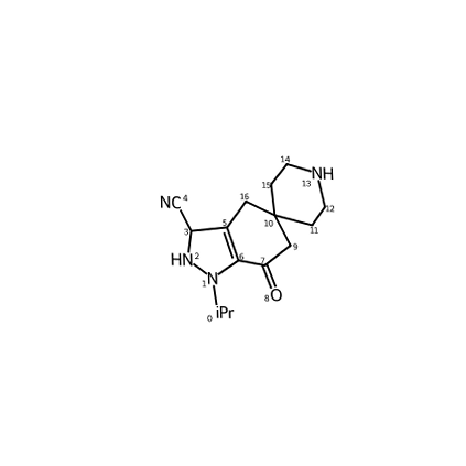 CC(C)N1NC(C#N)C2=C1C(=O)CC1(CCNCC1)C2